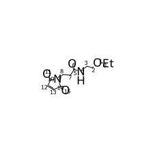 CCOCCNC(=O)CCN1C(=O)C=CC1=O